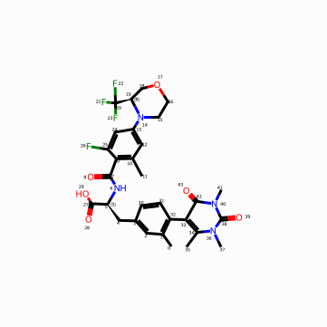 Cc1cc(C[C@H](NC(=O)c2c(C)cc(N3CCOC[C@@H]3C(F)(F)F)cc2F)C(=O)O)ccc1-c1c(C)n(C)c(=O)n(C)c1=O